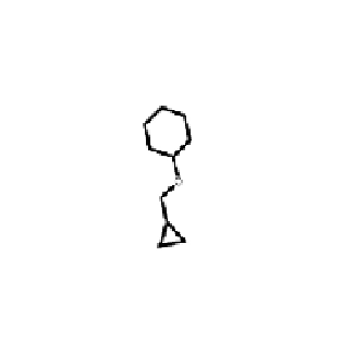 C1CCC(OCC2CC2)CC1